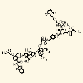 Cc1c(-c2ccc(N3CCc4c(OCC(=O)O)ccc(C(=O)Nc5nc6ccccc6s5)c4C3)nc2C(=O)O)cnn1CC12CC3(C)CC(C)(C1)CC(OCCN(C)C(=O)OCc1ccc(NC(=O)[C@H](CCCCNC(N)=O)NC(=O)[C@@H](NC(=O)CCCCCN4C(=O)C=CC4=O)C(C)C)cc1)(C3)C2